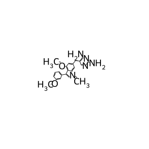 CCOc1cc(Cc2cnc(N)nc2N)cc2c1c(-c1cccc(OC)c1)cn2CC